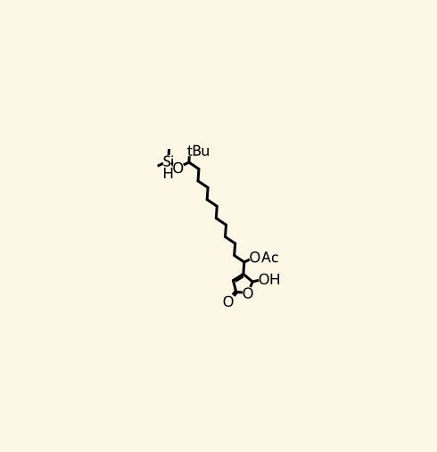 CC(=O)OC(CCCCCCCCCCC(O[SiH](C)C)C(C)(C)C)C1=CC(=O)OC1O